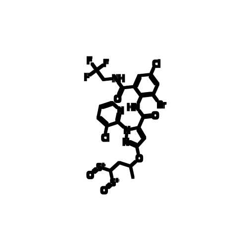 CC(CC([S+]=O)[S+]=O)Oc1cc(C(=O)Nc2c(Br)cc(Cl)cc2C(=O)NCC(F)(F)F)n(-c2ncccc2Cl)n1